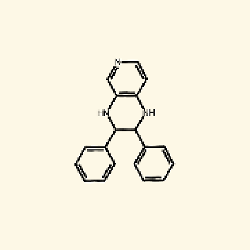 c1ccc(C2Nc3ccncc3NC2c2ccccc2)cc1